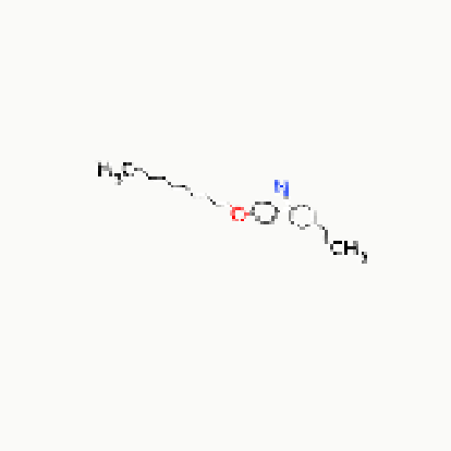 CCCCCCCCCCOc1ccc([C@]2(C#N)CC[C@H](CCC)CC2)cc1